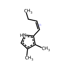 CC/C=C\c1[nH]cc(C)c1C